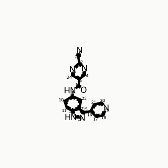 N#Cc1ncc(C(=O)Nc2ccc3[nH]nc(-c4ccncc4)c3c2)cn1